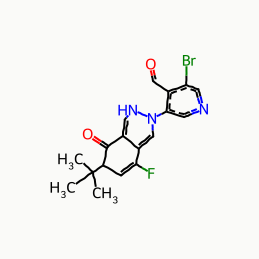 CC(C)(C)C1C=C(F)C2=CN(c3cncc(Br)c3C=O)NC=C2C1=O